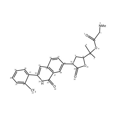 CNCC(=O)OC(C)(C)C1CN(c2ccc3cc(-c4ccccc4C(F)(F)F)[nH]c(=O)c3c2)C(=O)O1